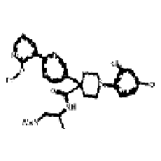 CCOc1ncccc1-c1ccc(C2(C(=O)N[C@@H](C)CNC)CCN(c3ccc(Cl)cc3Cl)CC2)cn1